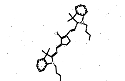 CCCCN1/C(=C/C=C2\CCC(/C=C/C3N(CCCC)c4ccccc4C3(C)C)=C2Cl)C(C)(C)c2ccccc21